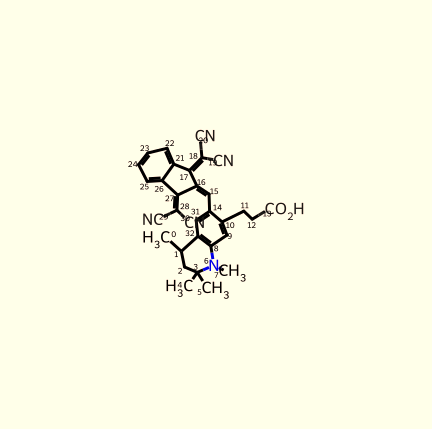 CC1CC(C)(C)N(C)c2cc(CCC(=O)O)c(C=C3C(=C(C#N)C#N)c4ccccc4C3=C(C#N)C#N)cc21